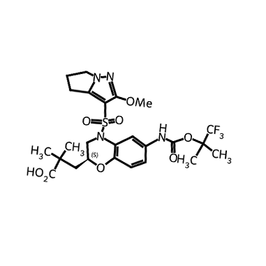 COc1nn2c(c1S(=O)(=O)N1C[C@H](CC(C)(C)C(=O)O)Oc3ccc(NC(=O)OC(C)(C)C(F)(F)F)cc31)CCC2